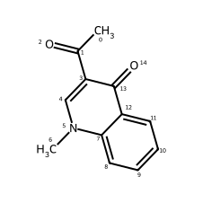 CC(=O)c1cn(C)c2ccccc2c1=O